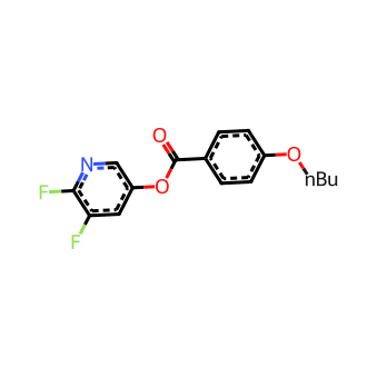 CCCCOc1ccc(C(=O)Oc2cnc(F)c(F)c2)cc1